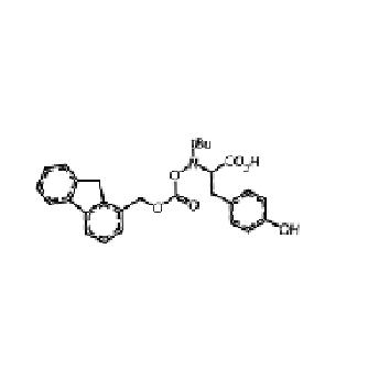 CC(C)(C)N(OC(=O)OCc1cccc2c1Cc1ccccc1-2)C(Cc1ccc(O)cc1)C(=O)O